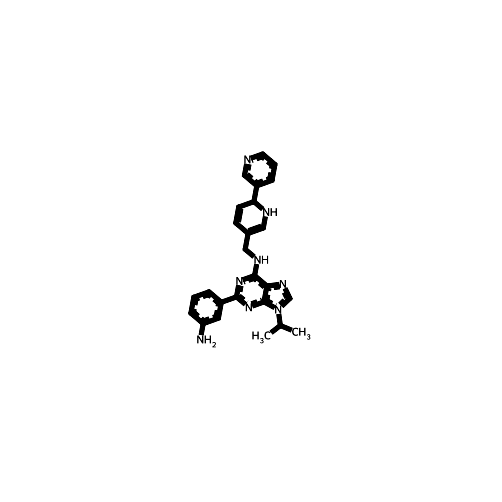 CC(C)n1cnc2c(NCC3=CNC(c4cccnc4)C=C3)nc(-c3cccc(N)c3)nc21